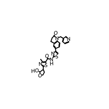 Cc1nc(C2CCOC2O)sc1C(=O)Nc1nc(-c2ccc3c(c2)CCC(=O)N3Cc2cccnc2)cs1